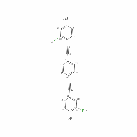 CCc1ccc(C#Cc2ccc(C#Cc3ccc(CC)c(F)c3)cc2)c(F)c1